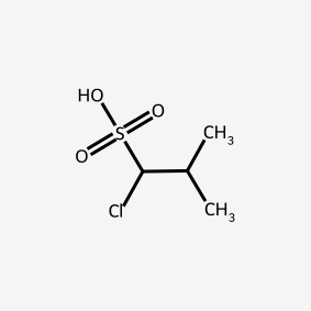 CC(C)C(Cl)S(=O)(=O)O